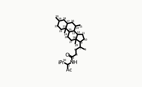 CC(=O)C(NC(=O)CCC(C)C1CCC2C3C(C)CC4CC(C)CCC4(C)C3CCC12C)C(C)C